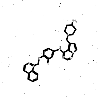 NC1CCN(Cc2ccn3ncnc(Nc4ccc(OCc5nccc6ccccc56)c(Cl)c4)c23)CC1